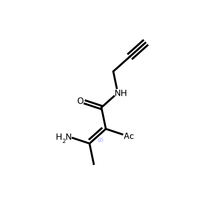 C#CCNC(=O)/C(C(C)=O)=C(/C)N